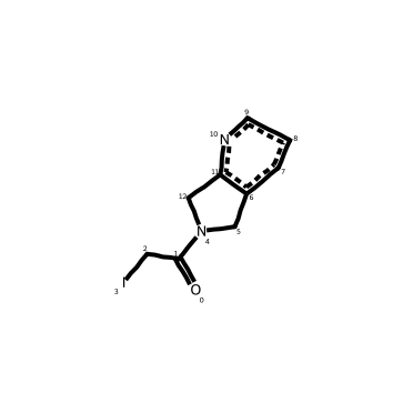 O=C(CI)N1Cc2cccnc2C1